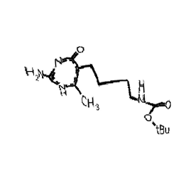 Cc1[nH]c(N)nc(=O)c1CCCCNC(=O)OC(C)(C)C